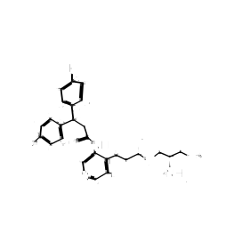 COC[C@@H](N)CO[C@@H](I)CCc1c(F)cncc1NC(=O)CC(c1ccc(F)cc1)c1ccc(F)cc1